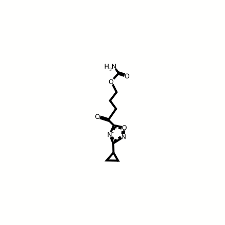 NC(=O)OCCCC(=O)c1nc(C2CC2)no1